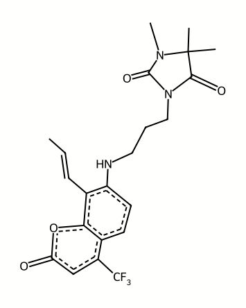 CC=Cc1c(NCCCN2C(=O)N(C)C(C)(C)C2=O)ccc2c(C(F)(F)F)cc(=O)oc12